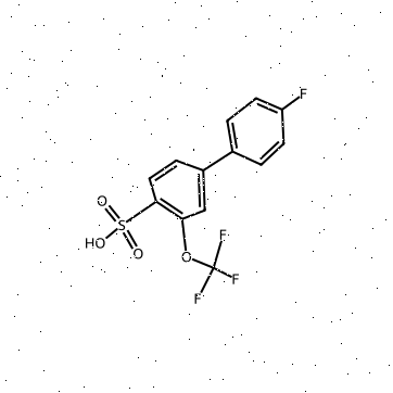 O=S(=O)(O)c1ccc(-c2ccc(F)cc2)cc1OC(F)(F)F